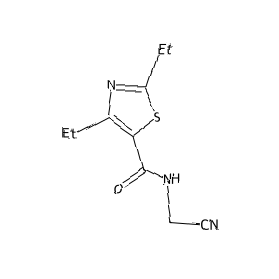 CCc1nc(CC)c(C(=O)NCC#N)s1